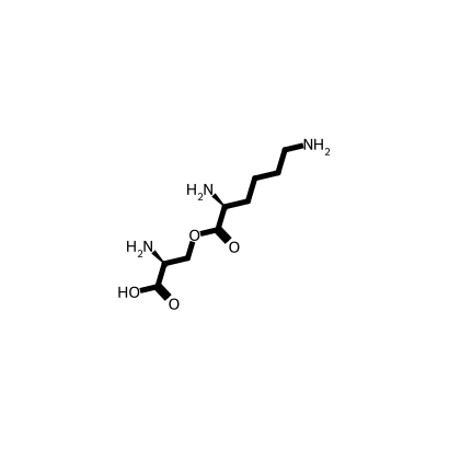 NCCCC[C@H](N)C(=O)OC[C@H](N)C(=O)O